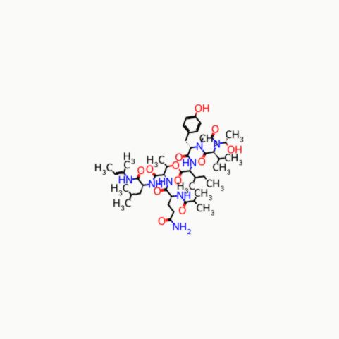 C/C=C(\C)NC(=O)[C@H](CC(C)C)NC(=O)[C@@H](NC(=O)[C@H](CCC(N)=O)NC(=O)C(C)C)[C@@H](C)OC(=O)[C@@H](NC(=O)[C@H](Cc1ccc(O)cc1)N(C)C(=O)[C@H](C(C)C)N(C=O)[C@H](C)O)C(C)CC